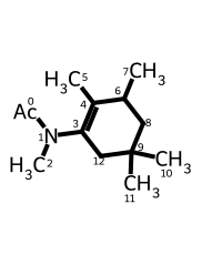 CC(=O)N(C)C1=C(C)C(C)CC(C)(C)C1